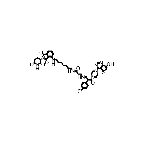 C[C@@H]1C[C@@H](O)c2ncnc(N3CCN(C(=O)C(CNCCC(=O)NCCCCCCCNc4cccc5c4C(=O)N(C4CCC(=O)NC4=O)C5=O)c4ccc(Cl)cc4)CC3)c21